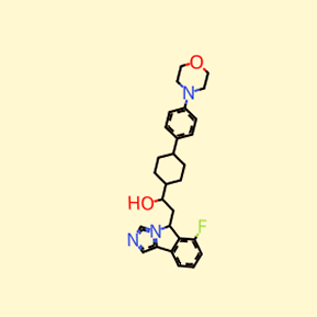 OC(CC1c2c(F)cccc2-c2cncn21)C1CCC(c2ccc(N3CCOCC3)cc2)CC1